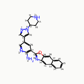 Nc1ncc(-c2cnn(C3CCNCC3)c2)cc1-c1nc2cc3ccccc3cc2o1